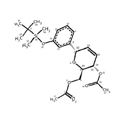 CC(=O)OC[C@H]1O[C@H](c2cccc(O[Si](C)(C)C(C)(C)C)c2)C=C[C@@H]1OC(C)=O